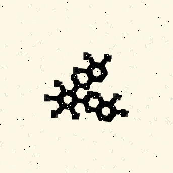 O=C(Oc1ccc(Br)c(Br)c1Br)c1c(Br)c(Br)c(Br)c(Br)c1C(=O)Oc1ccc(Br)c(Br)c1Br